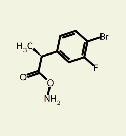 C[C@H](C(=O)ON)c1ccc(Br)c(F)c1